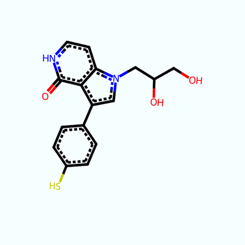 O=c1[nH]ccc2c1c(-c1ccc(S)cc1)cn2CC(O)CO